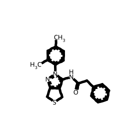 Cc1ccc(-n2nc3c(c2NC(=O)Cc2ccccc2)CSC3)c(C)c1